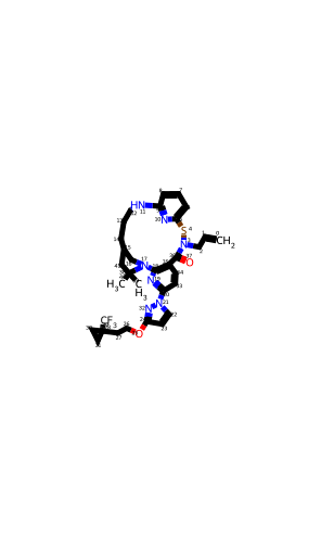 C=CCN1Sc2cccc(n2)NCCCC2CN(c3nc(-n4ccc(OCCC5(C(F)(F)F)CC5)n4)ccc3C1=O)C(C)(C)C2